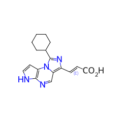 O=C(O)/C=C/c1nc(C2CCCCC2)n2c1cnc1[nH]ccc12